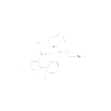 C#CCNC(=O)c1c(NC(=O)c2cc(Br)nn2-c2ncccc2Cl)c(C)cc2ccnn12